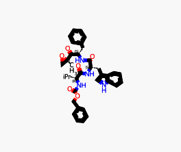 CC(C)[C@@H](NC(=O)OCc1ccccc1)C(=O)N[C@@H](Cc1c[nH]c2ccccc12)C(=O)N[C@@H](Cc1ccccc1)C(=O)[C@@]1(C)CO1